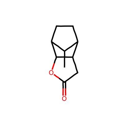 CC1C2CCC1C1OC(=O)CC21